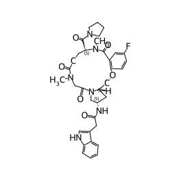 CN1CC(=O)N2C[C@@H](NC(=O)Cc3c[nH]c4ccccc34)C[C@H]2COc2ccc(F)cc2C(=O)N(C)[C@H](C(=O)N2CCCC2)CCC1=O